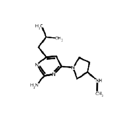 CNC1CCN(c2cc(CC(C)C)nc(N)n2)C1